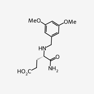 COc1cc(CN[C@@H](CCC(=O)O)C(N)=O)cc(OC)c1